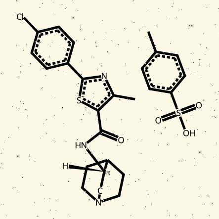 Cc1ccc(S(=O)(=O)O)cc1.Cc1nc(-c2ccc(Cl)cc2)sc1C(=O)N[C@H]1CN2CCC1CC2